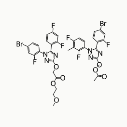 CC(=O)OOc1nc(-c2ccc(Br)cc2F)n(-c2ccc(F)c(C)c2F)n1.COCCOC(=O)COc1nc(-c2ccc(F)cc2F)n(-c2ccc(Br)cc2F)n1